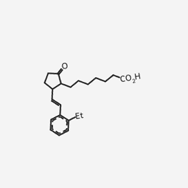 CCc1ccccc1C=CC1CCC(=O)C1CCCCCCC(=O)O